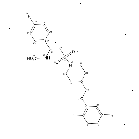 Cc1ccc(C)c(OCC2CCN(S(=O)(=O)CC(NC(=O)O)c3ccc(F)cc3)CC2)c1